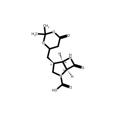 CC1(C)OC(=O)CC(C[C@@H]2CN(C(=O)O)[C@@H]3C(=O)N[C@H]23)O1